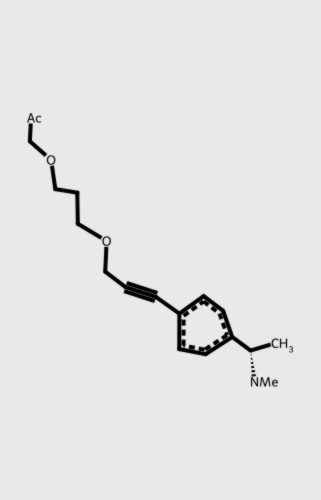 CN[C@@H](C)c1ccc(C#CCOCCCOCC(C)=O)cc1